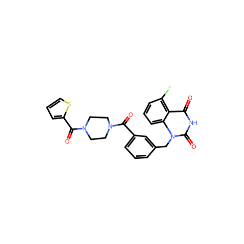 O=C(c1cccc(Cn2c(=O)[nH]c(=O)c3c(F)cccc32)c1)N1CCN(C(=O)c2cccs2)CC1